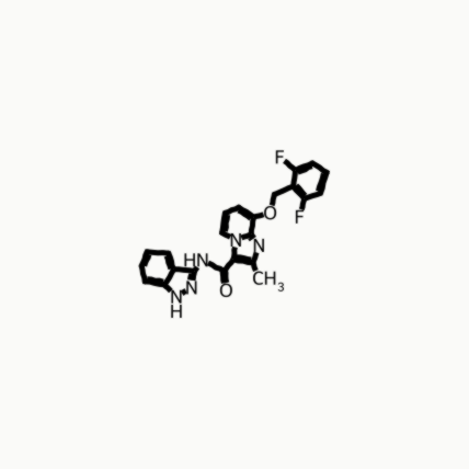 Cc1nc2c(OCc3c(F)cccc3F)cccn2c1C(=O)Nc1n[nH]c2ccccc12